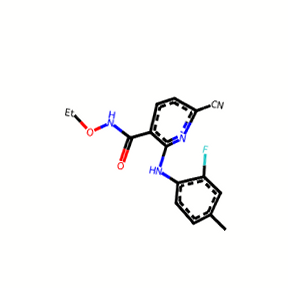 CCONC(=O)c1ccc(C#N)nc1Nc1ccc(C)cc1F